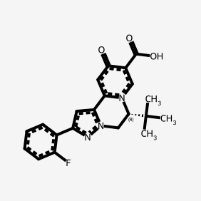 CC(C)(C)[C@@H]1Cn2nc(-c3ccccc3F)cc2-c2cc(=O)c(C(=O)O)cn21